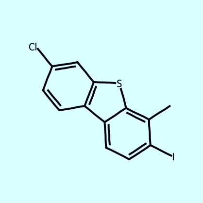 Cc1c(I)ccc2c1sc1cc(Cl)ccc12